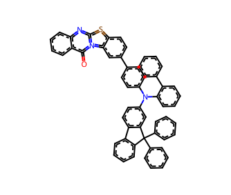 O=c1c2ccccc2nc2sc3ccc(-c4ccc(N(c5ccc6c(c5)C(c5ccccc5)(c5ccccc5)c5ccccc5-6)c5ccccc5-c5ccccc5)cc4)cc3n12